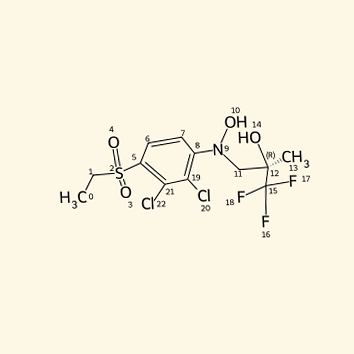 CCS(=O)(=O)c1ccc(N(O)C[C@@](C)(O)C(F)(F)F)c(Cl)c1Cl